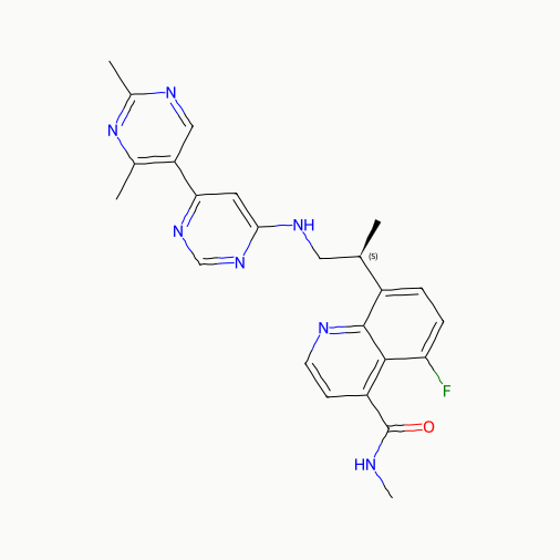 CNC(=O)c1ccnc2c([C@H](C)CNc3cc(-c4cnc(C)nc4C)ncn3)ccc(F)c12